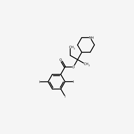 CCC(C)(OC(=O)c1cc(I)cc(I)c1I)C1CCNCC1